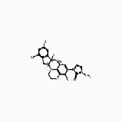 CC1C(n2ccn(C)c2=O)=CC2(C)O[C@H]3c4cc(Cl)cc(Cl)c4C[C@@H]3N3CCNC1=C32